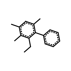 CCc1c(C)c(C)[c]c(C)c1-c1ccccc1